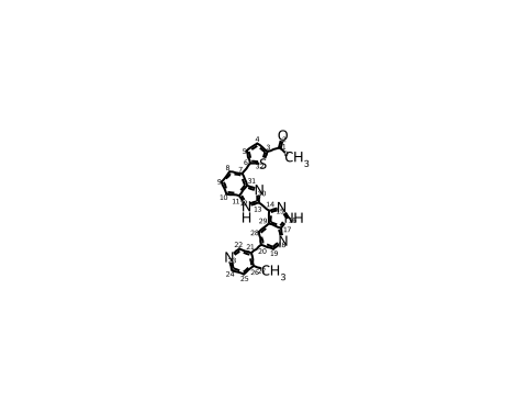 CC(=O)c1ccc(-c2cccc3[nH]c(-c4n[nH]c5ncc(-c6cnccc6C)cc45)nc23)s1